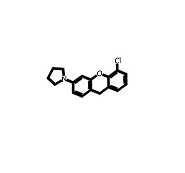 Clc1cccc2c1Oc1cc(N3CCCC3)ccc1C2